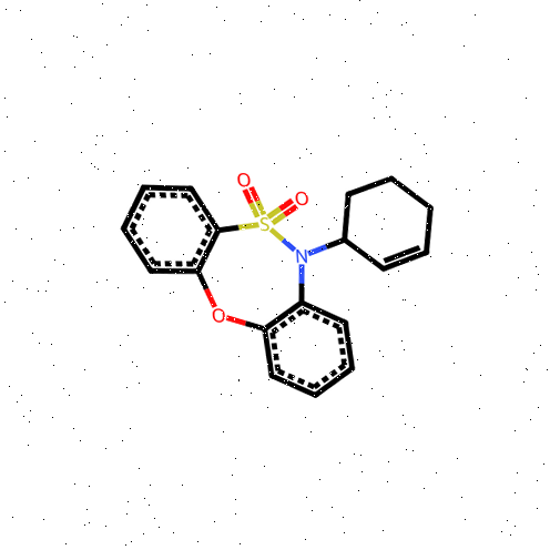 O=S1(=O)c2ccccc2Oc2ccccc2N1C1C=CCCC1